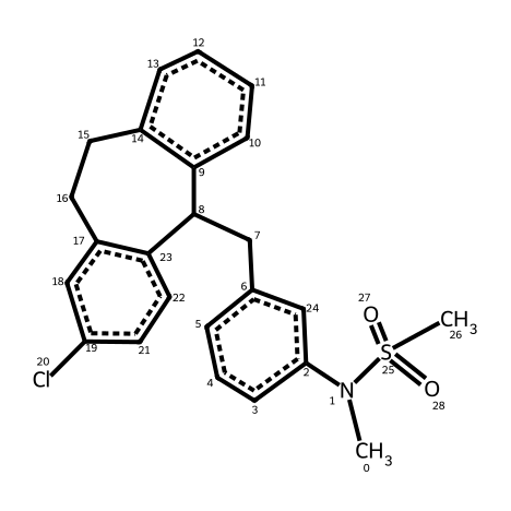 CN(c1cccc(CC2c3ccccc3CCc3cc(Cl)ccc32)c1)S(C)(=O)=O